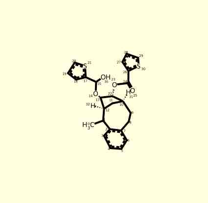 CC1c2ccccc2CC[C@H]2C[C@@H]1[C@H](OC(O)c1cccs1)[C@@H]2OC(=O)c1cccs1